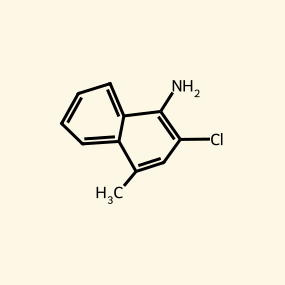 Cc1cc(Cl)c(N)c2ccccc12